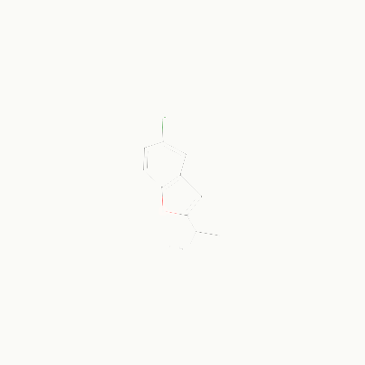 CC(=O)NC(C)c1cc2cc(Br)ccc2o1